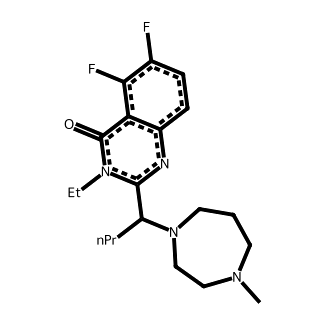 CCCC(c1nc2ccc(F)c(F)c2c(=O)n1CC)N1CCCN(C)CC1